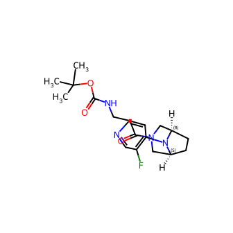 CC(C)(C)OC(=O)NCCC(=O)N1C[C@H]2CC[C@@H](C1)N2c1ccncc1F